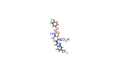 O=C(COc1ccc(Cl)c(F)c1)N[C@H]1CC[C@H](c2cn3ccc(C(F)(F)F)cc3n2)N(C(=O)O)C1